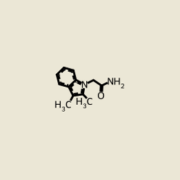 Cc1c(C)n(CC(N)=O)c2ccccc12